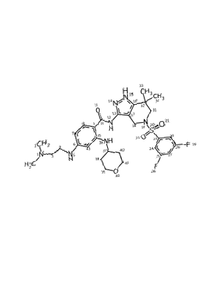 CN(C)CCNc1ccc(C(=O)Nc2n[nH]c3c2CN(S(=O)(=O)c2cc(F)cc(F)c2)CC3(C)C)c(NC2CCOCC2)c1